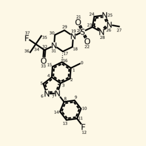 Cc1cc2c(cnn2-c2ccc(F)cc2)cc1[C@H]1CN(S(=O)(=O)c2cnn(C)n2)CCN1C(=O)C(C)(C)F